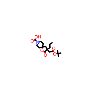 CCCC1(CC(=O)OC(C)(C)C)CC2(CCN(C(=O)O)CC2)OC1=O